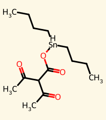 CCC[CH2][SnH]([CH2]CCC)[O]C(=O)C(C(C)=O)C(C)=O